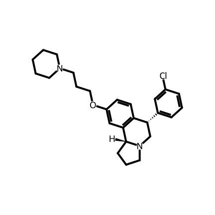 Clc1cccc([C@@H]2CN3CCC[C@@H]3c3cc(OCCCN4CCCCC4)ccc32)c1